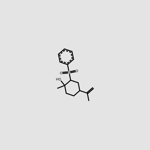 C=C(C)C1CCC(C)(O)C(S(=O)(=O)c2ccccc2)C1